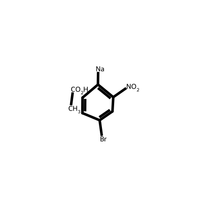 CC(=O)O.O=[N+]([O-])c1cc(Br)cc[c]1[Na]